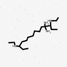 CCNC(CC)CCCCCCCC(N)(N)C(CC)NCC